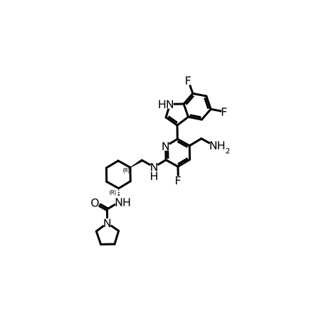 NCc1cc(F)c(NC[C@@H]2CCC[C@@H](NC(=O)N3CCCC3)C2)nc1-c1c[nH]c2c(F)cc(F)cc12